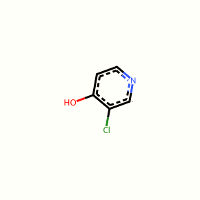 Oc1ccn[c]c1Cl